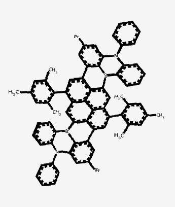 Cc1cc(C)c(-c2cc3c4c(cc5c(-c6c(C)cc(C)cc6C)cc6c7c(cc2c4c57)B2c4ccccc4N(c4ccccc4)c4cc(C(C)C)cc-6c42)B2c4ccccc4N(c4ccccc4)c4cc(C(C)C)cc-3c42)c(C)c1